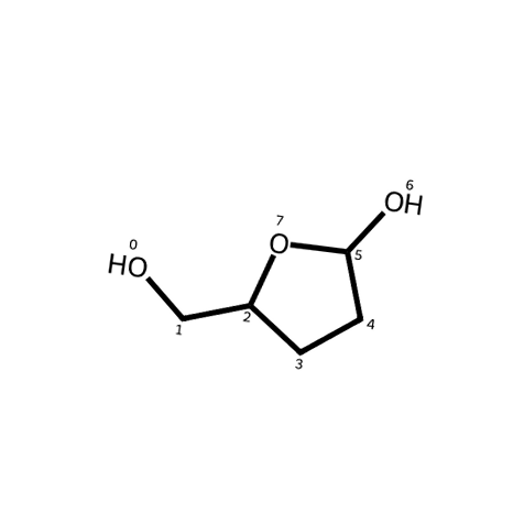 OCC1CCC(O)O1